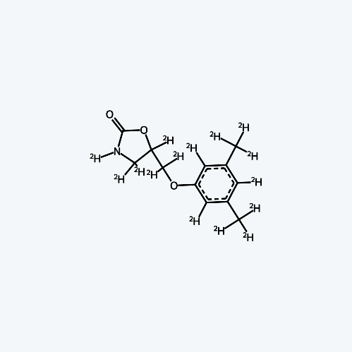 [2H]c1c(OC([2H])([2H])C2([2H])OC(=O)N([2H])C2([2H])[2H])c([2H])c(C([2H])([2H])[2H])c([2H])c1C([2H])([2H])[2H]